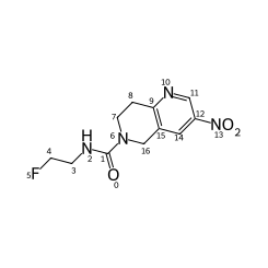 O=C(NCCF)N1CCc2ncc([N+](=O)[O-])cc2C1